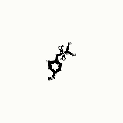 O=S(=O)(Cc1ccc(Br)cc1)C(I)I